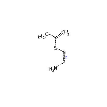 C=C(C)S/N=C\N